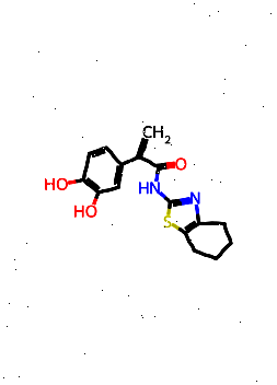 C=C(C(=O)Nc1nc2c(s1)CCCC2)c1ccc(O)c(O)c1